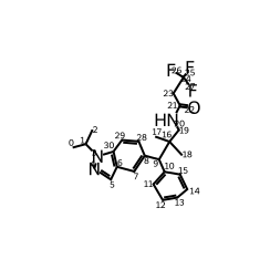 CC(C)n1ncc2cc(C(c3ccccc3)C(C)(C)CNC(=O)CC(F)(F)F)ccc21